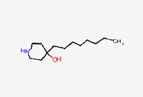 CCCCCCCCC1(O)CCNCC1